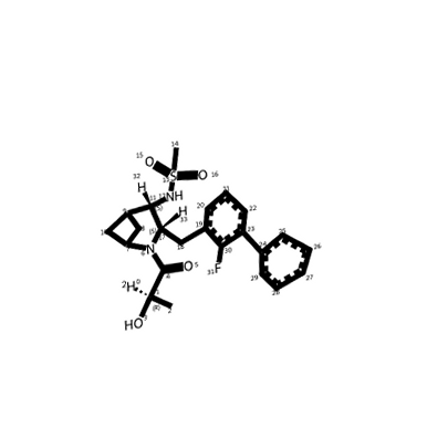 [2H][C@](C)(O)C(=O)N1C2CC(C2)[C@H](NS(C)(=O)=O)[C@@H]1Cc1cccc(-c2ccccc2)c1F